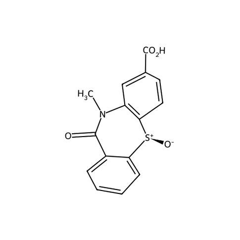 CN1C(=O)c2ccccc2[S@+]([O-])c2ccc(C(=O)O)cc21